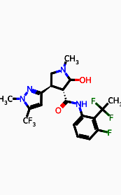 CN1C[C@H](c2cc(C(F)(F)F)n(C)n2)[C@@H](C(=O)Nc2cccc(F)c2C(C)(F)F)C1O